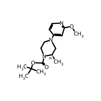 COc1cc(N2CCN(C(=O)OC(C)(C)C)[C@H](C)C2)ccn1